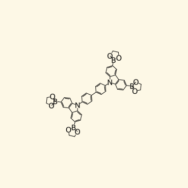 c1cc2c(cc1B1OCCO1)c1cc(B3OCCO3)ccc1n2-c1ccc(-c2ccc(-n3c4ccc(B5OCCO5)cc4c4cc(B5OCCO5)ccc43)cc2)cc1